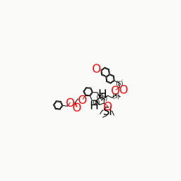 CC[Si](CC)(CC)OC1C[C@@H]2Cc3c(cccc3OCC(=O)OCc3ccccc3)C[C@@H]2[C@H]1CC[C@H](C)OC(=O)[C@@H](C)c1ccc2cc(OC)ccc2c1